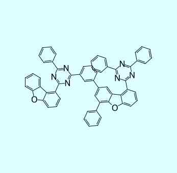 c1ccc(-c2nc(-c3cccc(-c4cc(-c5ccccc5)c5oc6cccc(-c7nc(-c8ccccc8)nc(-c8ccccc8)n7)c6c5c4)c3)nc(-c3cccc4oc5ccccc5c34)n2)cc1